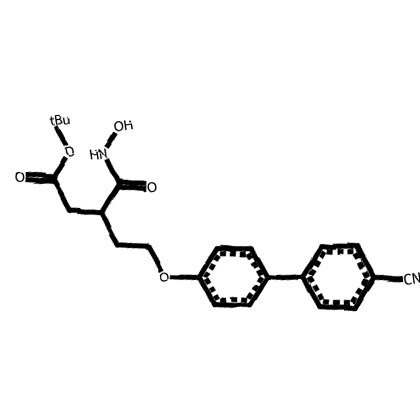 CC(C)(C)OC(=O)CC(CCOc1ccc(-c2ccc(C#N)cc2)cc1)C(=O)NO